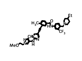 CCC1CCN(Cc2ccc(NC(=O)c3ccc(C)c(C#Cc4cnc(Nc5cn(CCOC)nc5C)nc4)c3)cc2C(F)(F)F)CC1